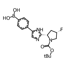 CC(C)(C)OC(=O)N1C[C@@H](F)C[C@H]1c1ncc(-c2ccc(B(O)O)cc2)[nH]1